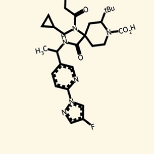 CC(NC(=O)C1(N(CC2CC2)C(=O)CCl)CCN(C(=O)O)C(C(C)(C)C)C1)c1ccc(-n2cc(F)cn2)nc1